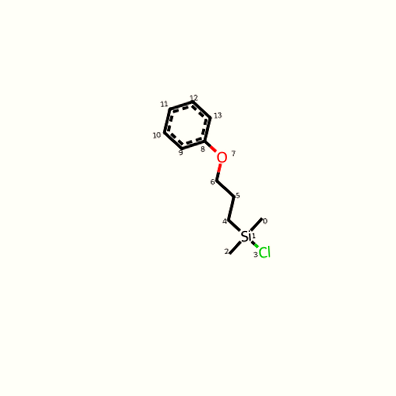 C[Si](C)(Cl)CCCOc1ccccc1